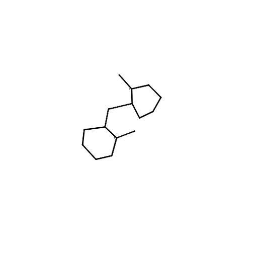 C[C]1CCCCC1CC1CCCC[C]1C